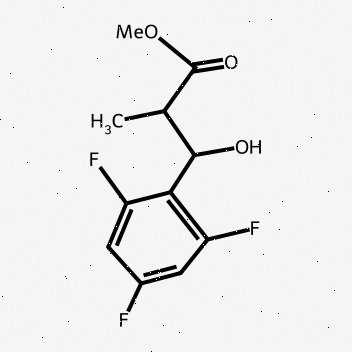 COC(=O)C(C)C(O)c1c(F)cc(F)cc1F